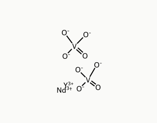 [Nd+3].[O]=[V]([O-])([O-])[O-].[O]=[V]([O-])([O-])[O-].[Y+3]